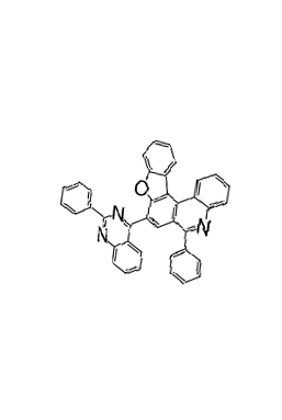 c1ccc(-c2nc(-c3cc4c(-c5ccccc5)nc5ccccc5c4c4c3oc3ccccc34)c3ccccc3n2)cc1